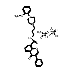 COc1ccccc1N1CCN(CCCNC(=O)c2cccc3c(=O)c(-c4ccccc4)coc23)CC1.CS(=O)(=O)O.CS(=O)(=O)O